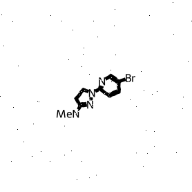 CNC1=NN(c2ccc(Br)cn2)CC1